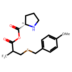 COc1ccc(CSCC(C(=O)OC(=O)[C@@H]2CCCN2)C(F)(F)F)cc1